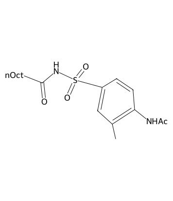 CCCCCCCCC(=O)NS(=O)(=O)c1ccc(NC(C)=O)c(C)c1